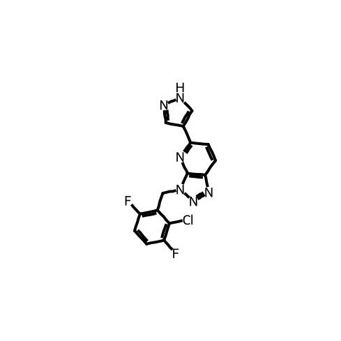 Fc1ccc(F)c(Cn2nnc3ccc(-c4cn[nH]c4)nc32)c1Cl